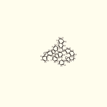 c1ccc(-c2nc3ccc4ccc5ccc(N(c6cccc(S(c7ccccc7)(c7ccccc7)c7ccc8oc9ccccc9c8c7)c6)c6ccc7ccccc7c6)cc5c4c3o2)cc1